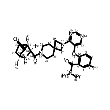 CC(C)N(C(=O)c1cc(F)ccc1Oc1cncnc1N1CC2(CCN(C(=O)[C@H]3N[C@H]4CC[C@@H]3C(=O)C4)CC2)C1)C(C)C